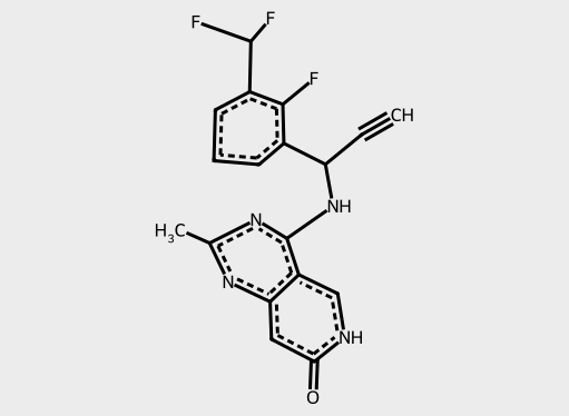 C#CC(Nc1nc(C)nc2cc(=O)[nH]cc12)c1cccc(C(F)F)c1F